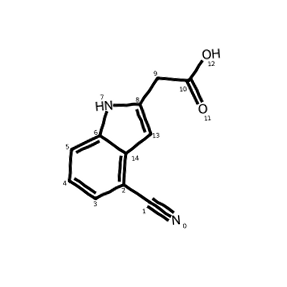 N#Cc1cccc2[nH]c(CC(=O)O)cc12